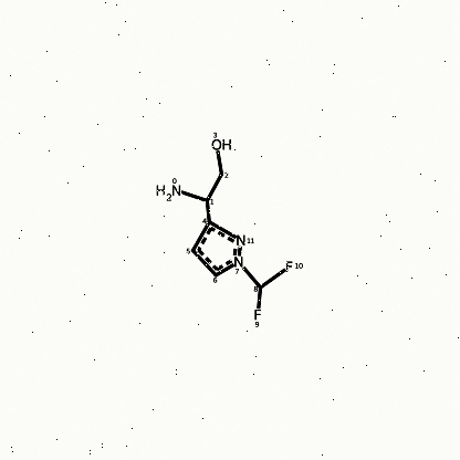 NC(CO)c1ccn(C(F)F)n1